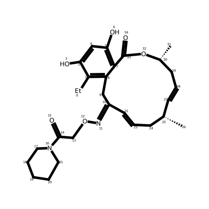 CCc1c(O)cc(O)c2c1CC(=NOCC(=O)N1CCCCC1)/C=C/C[C@@H](C)/C=C/C[C@@H](C)OC2=O